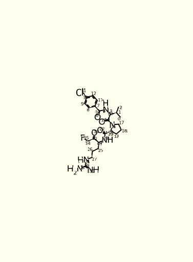 CC(C)[C@H](NC(=O)c1ccc(Cl)cc1)C(=O)N1CCC[C@H]1C(=O)N[C@@H](CCCNC(=N)N)C(=O)CF